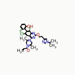 C=CC(=O)N1C[C@H](C)N(c2nc(OCCc3cn(C(C)C)cn3)nc3c(F)c(-c4c(O)cccc4F)c(Cl)cc23)C[C@H]1C